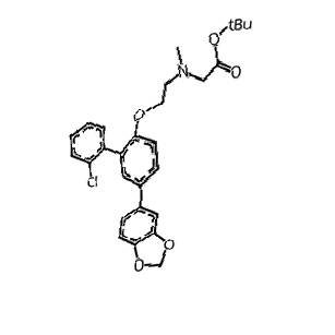 CN(CCOc1ccc(-c2ccc3c(c2)OCO3)cc1-c1ccccc1Cl)CC(=O)OC(C)(C)C